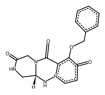 O=C1CN2C(=O)c3c(OCc4ccccc4)c(=O)ccn3N[C@@H]2CN1